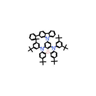 CC(C)(C)c1cc(N2c3ccc(C(C)(C)C)cc3B3c4cc(C(C)(C)C)ccc4N(c4cc(C(C)(C)C)cc(C(C)(C)C)c4)c4cc(-n5c6ccccc6c6ccc(-c7ccccc7)cc65)cc2c43)cc(C(C)(C)C)c1